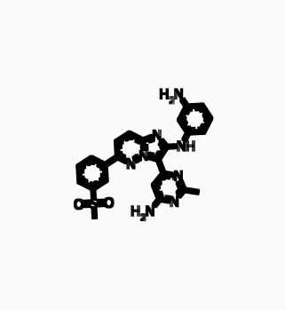 Cc1nc(N)cc(-c2c(Nc3cccc(N)c3)nc3ccc(-c4cccc(S(C)(=O)=O)c4)nn23)n1